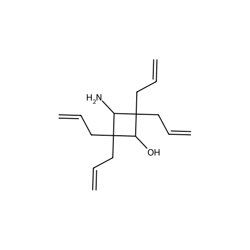 C=CCC1(CC=C)C(N)C(CC=C)(CC=C)C1O